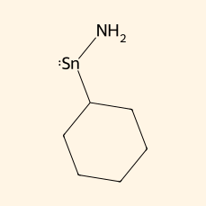 [NH2][Sn][CH]1CCCCC1